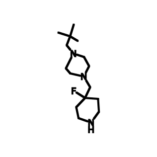 CC(C)(C)CN1CCN(CC2(F)CCNCC2)CC1